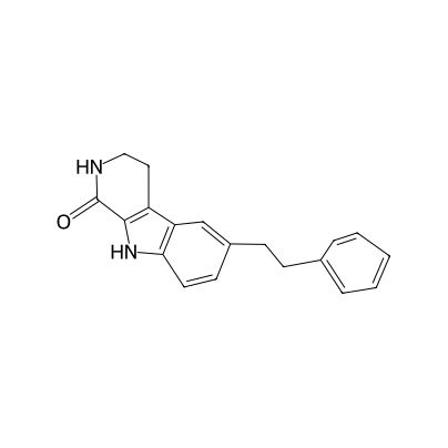 O=C1NCCc2c1[nH]c1ccc(CCc3ccccc3)cc21